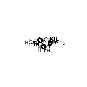 C=C/N=c1/cc(Oc2ccc(N/C(=N/C=C)c3cc(NO)ccc3C)cc2C)ccn1C